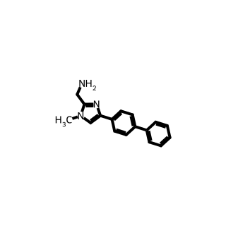 Cn1cc(-c2ccc(-c3ccccc3)cc2)nc1CN